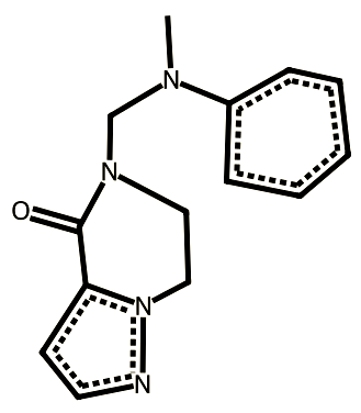 CN(CN1CCn2nccc2C1=O)c1ccccc1